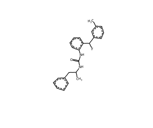 Cc1cccc(C(F)c2ccccc2NC(=O)NC(C)Cc2ccccc2)c1